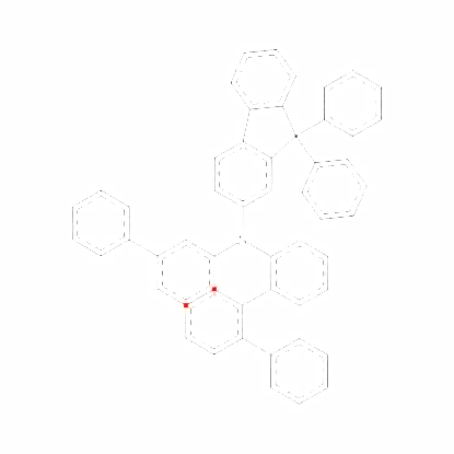 c1ccc(-c2cccc(N(c3ccc4c(c3)C(c3ccccc3)(c3ccccc3)c3ccccc3-4)c3ccccc3-c3ccccc3-c3ccccc3)c2)cc1